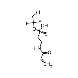 C=CC(=O)NCCP(O)(=S)OC(F)(F)CCl